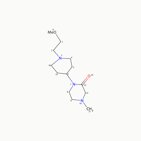 COCCN1CCC(N2CCN(C)CC2=O)CC1